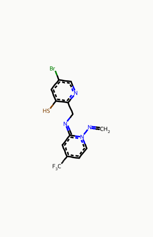 C=Nn1ccc(C(F)(F)F)c/c1=N/Cc1ncc(Br)cc1S